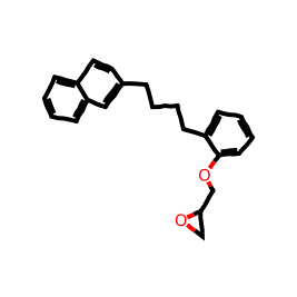 c1ccc(OCC2CO2)c(CCCCc2ccc3ccccc3c2)c1